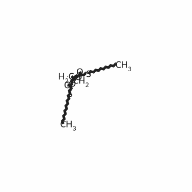 [CH2]C([CH2])(COC(=O)CCSCCCCCCCCCCCC)COC(=O)CCSCCCCCCCCCCCC